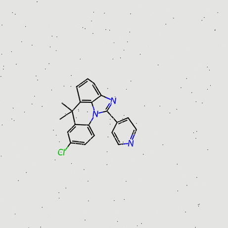 CC1(C)c2cc(Cl)ccc2-n2c(-c3ccncc3)nc3cccc1c32